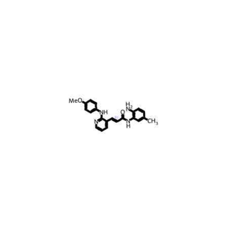 COc1ccc(Nc2ncccc2/C=C/C(=O)Nc2cc(C)ccc2N)cc1